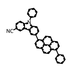 N#Cc1ccc2c(c1)c1cc(-c3ccc4ccc5c(-c6ccccc6)ccc6ccc3c4c65)ccc1n2-c1ccccc1